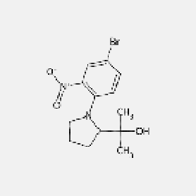 CC(C)(O)C1CCCN1c1ccc(Br)cc1[N+](=O)[O-]